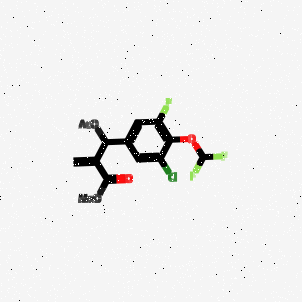 C=C(C(=O)OC)C(OC(C)=O)c1cc(F)c(OC(F)F)c(Cl)c1